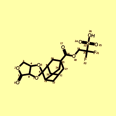 O=C1OCC2OC3(OC12)C1CC2CC3CC(C(=O)OCC(F)(F)S(=O)(=O)O)(C2)C1